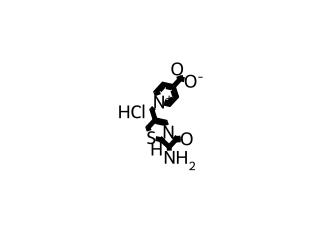 Cl.NC1C(=O)N2C=C(C[n+]3ccc(C(=O)[O-])cc3)CS[C@@H]12